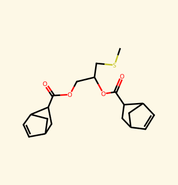 CSCC(COC(=O)C1CC2C=CC1C2)OC(=O)C1CC2C=CC1C2